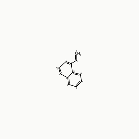 C=Cc1cncc2ccccc12